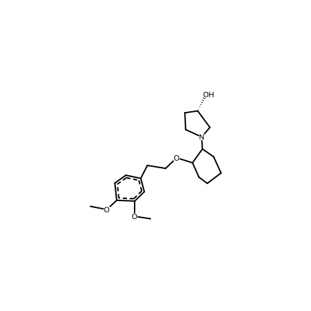 COc1ccc(CCOC2CCCCC2N2CC[C@H](O)C2)cc1OC